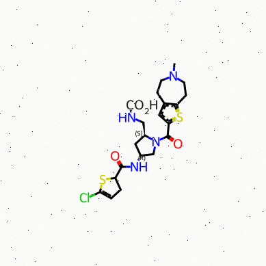 CN1CCc2cc(C(=O)N3C[C@H](NC(=O)C4CC=C(Cl)S4)C[C@H]3CNC(=O)O)sc2CC1